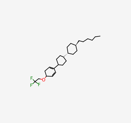 CCCCCC[C@H]1CC[C@H](C2CCC(C3=CCC(OCC(F)(F)F)C=C3)CC2)CC1